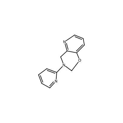 c1ccc(N2COc3cccnc3C2)nc1